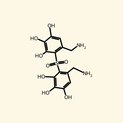 NCc1cc(O)c(O)c(O)c1S(=O)(=O)c1c(CN)cc(O)c(O)c1O